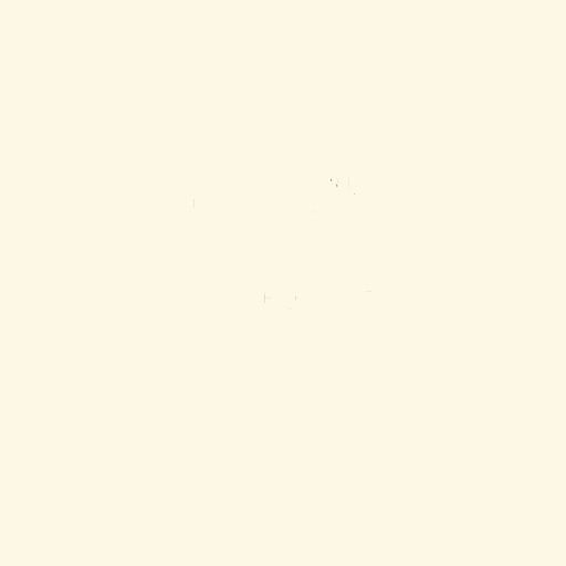 NC(=O)Cc1ccccc1O.O=C(O)c1c(F)cccc1F